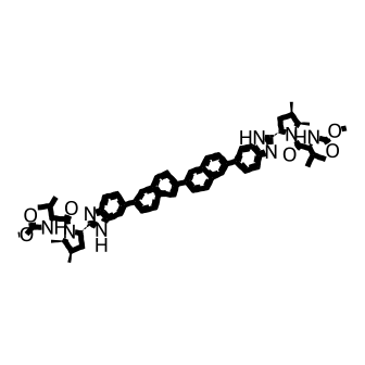 COC(=O)N[C@H](C(=O)N1[C@H](C)[C@H](C)C[C@H]1c1nc2ccc(-c3ccc4cc(-c5ccc6cc(-c7ccc8nc([C@@H]9C[C@@H](C)[C@@H](C)N9C(=O)[C@@H](NC(=O)OC)C(C)C)[nH]c8c7)ccc6c5)ccc4c3)cc2[nH]1)C(C)C